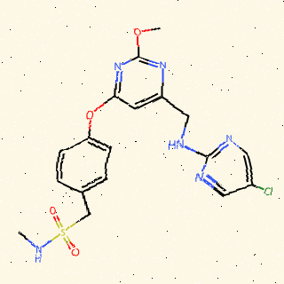 CNS(=O)(=O)Cc1ccc(Oc2cc(CNc3ncc(Cl)cn3)nc(OC)n2)cc1